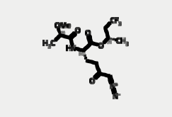 CO[C@H](C)C(=O)N[C@@H](CCC(=O)C=[N+]=[N-])C(=O)O[C@@H](C)CC(F)(F)F